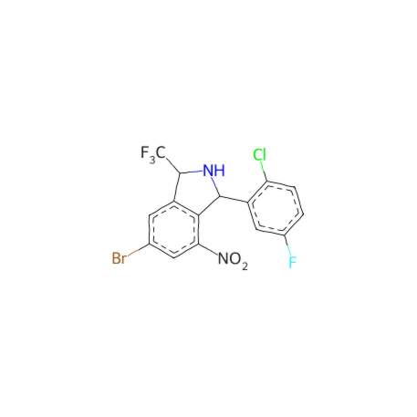 O=[N+]([O-])c1cc(Br)cc2c1C(c1cc(F)ccc1Cl)NC2C(F)(F)F